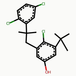 CC(C)(C)c1cc(O)cc(CC(C)(C)c2cc(Cl)ccc2Cl)c1Cl